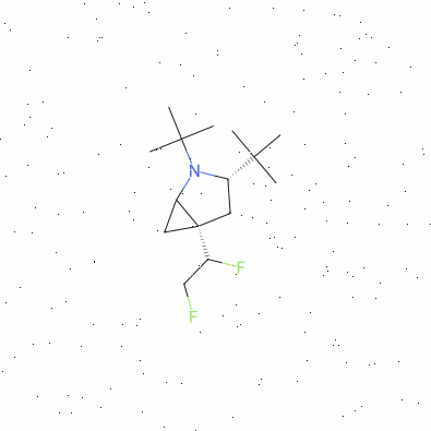 CC(C)(C)[C@@H]1C[C@@]2(C(F)CF)CC2N1C(C)(C)C